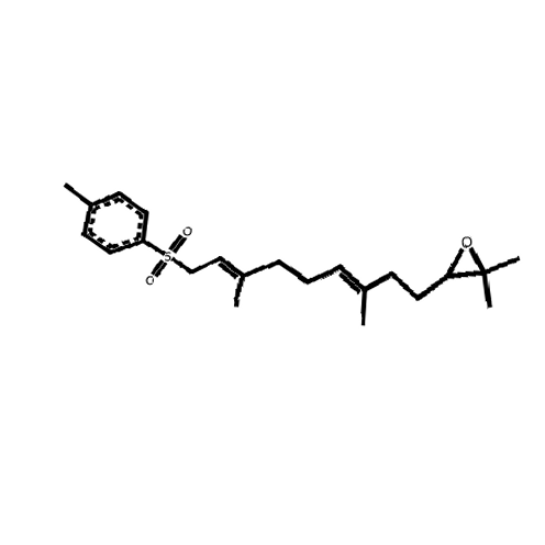 C/C(=C\CS(=O)(=O)c1ccc(C)cc1)CC/C=C(\C)CCC1OC1(C)C